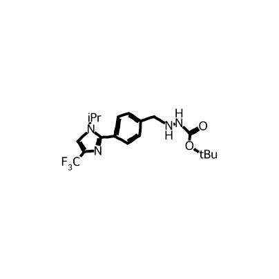 CC(C)n1cc(C(F)(F)F)nc1-c1ccc(CNNC(=O)OC(C)(C)C)cc1